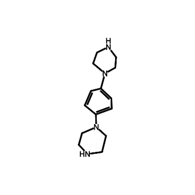 c1cc(N2CCNCC2)ccc1N1CCNCC1